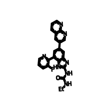 CCNC(=O)Nc1nc2cc(-c3cnc4ncccc4c3)cc(-c3ncccc3F)c2[nH]1